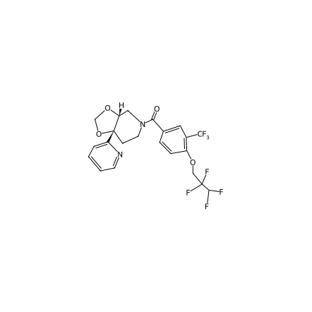 O=C(c1ccc(OCC(F)(F)C(F)F)c(C(F)(F)F)c1)N1CC[C@]2(c3ccccn3)OCO[C@@H]2C1